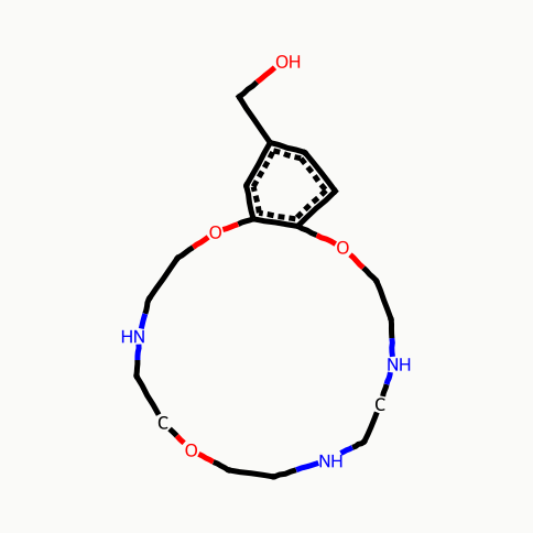 OCc1ccc2c(c1)OCCNCCOCCNCCNCCO2